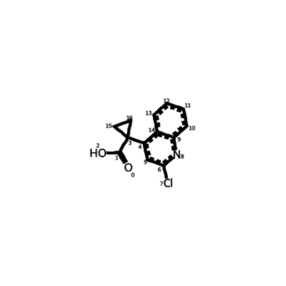 O=C(O)C1(c2cc(Cl)nc3ccccc23)CC1